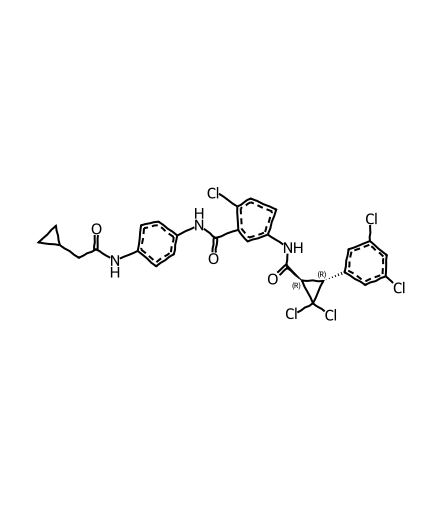 O=C(CC1CC1)Nc1ccc(NC(=O)c2cc(NC(=O)[C@H]3[C@H](c4cc(Cl)cc(Cl)c4)C3(Cl)Cl)ccc2Cl)cc1